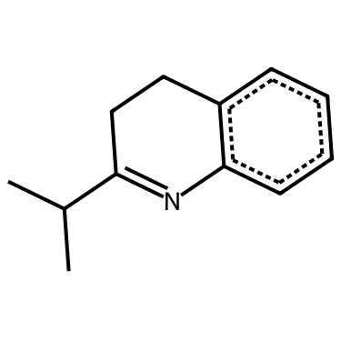 CC(C)C1=Nc2ccccc2CC1